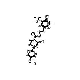 CCC1CN(c2ncc(C(F)(F)F)cn2)CCN1C(=O)OCCc1c[nH]c(=O)c(C(F)(F)F)c1